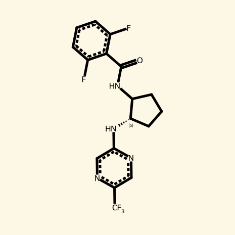 O=C(NC1CCC[C@@H]1Nc1cnc(C(F)(F)F)cn1)c1c(F)cccc1F